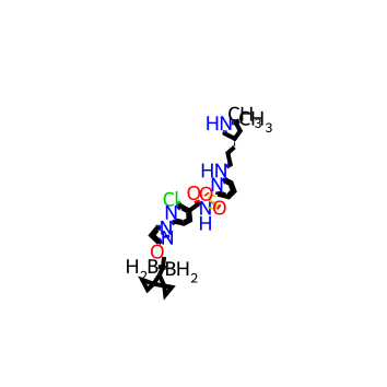 BC(B)(COc1ccn(-c2ccc(C(=O)NS(=O)(=O)c3cccc(NCCC[C@@H]4CNC(C)(C)C4)n3)c(Cl)n2)n1)C1C2(CC2)C12CC2